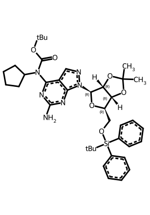 CC(C)(C)OC(=O)N(c1nc(N)nc2c1cnn2[C@@H]1O[C@H](CO[Si](c2ccccc2)(c2ccccc2)C(C)(C)C)[C@H]2OC(C)(C)O[C@H]21)C1CCCC1